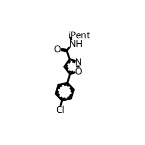 CCCC(C)NC(=O)c1cc(-c2ccc(Cl)cc2)on1